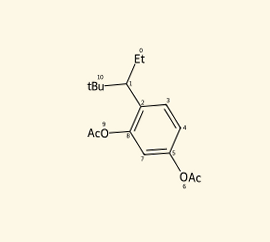 CCC(c1ccc(OC(C)=O)cc1OC(C)=O)C(C)(C)C